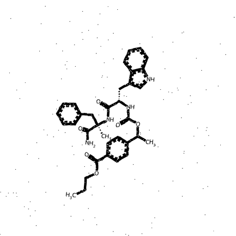 CCCOC(=O)c1ccc(C(C)OC(=O)N[C@@H](Cc2c[nH]c3ccccc23)C(=O)N[C@](C)(Cc2ccccc2)C(N)=O)cc1